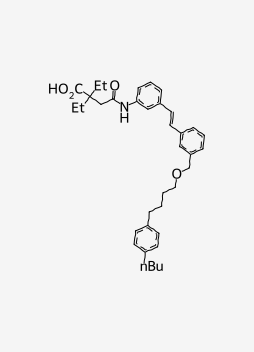 CCCCc1ccc(CCCCOCc2cccc(C=Cc3cccc(NC(=O)CC(CC)(CC)C(=O)O)c3)c2)cc1